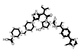 Cc1ncsc1-c1ccc(C(C)NC(=O)[C@@H]2C[C@@H](O)CN2C(=O)C(c2cc(N3CCN(C[C@@H]4CCCN(C(=O)O)C4)CC3)no2)C(C)C)cc1